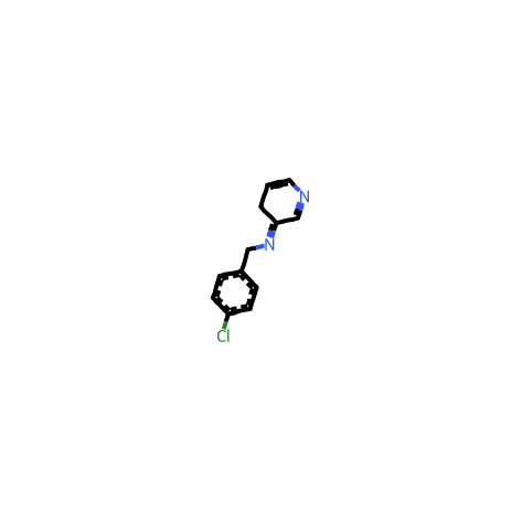 Clc1ccc(CN=C2C=NC=CC2)cc1